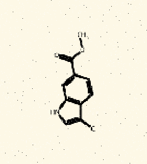 COC(=O)c1ccc2c(Cl)c[nH]c2c1